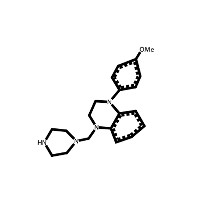 COc1ccc(N2CCN(CN3CCNCC3)c3ccccc32)cc1